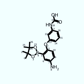 CC1(C)OB(c2cc(N)ccc2Oc2cccc(NC(=O)O)c2)OC1(C)C